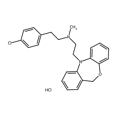 CN(CCc1ccc(Cl)cc1)CCN1c2ccccc2COc2ccccc21.Cl